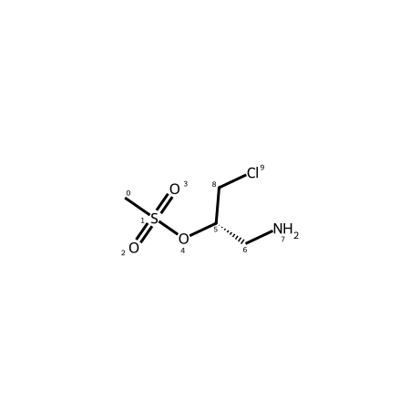 CS(=O)(=O)O[C@@H](CN)CCl